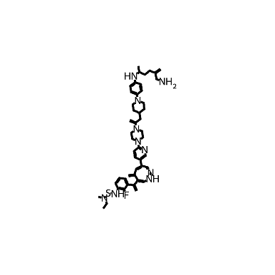 C=C(CN)CCC(C)Nc1ccc(N2CCC(CC(=C)N3CCN(c4ccc(C5=C/C(=C)/C(C(=C)c6cccc(NSN(C)CC)c6F)=C\N/N=C\5)cn4)CC3)CC2)cc1